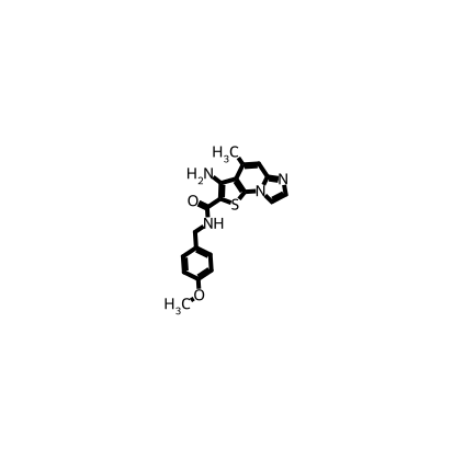 COc1ccc(CNC(=O)c2sc3c(c(C)cc4nccn43)c2N)cc1